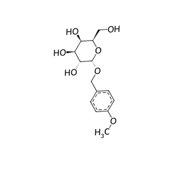 COc1ccc(CO[C@H]2O[C@H](CO)[C@H](O)[C@H](O)[C@H]2O)cc1